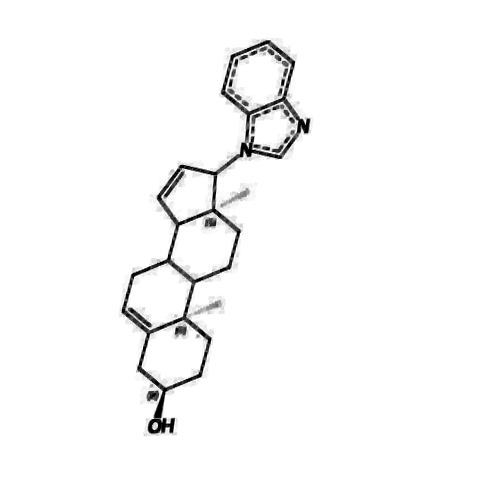 C[C@]12CCC3C(CC=C4C[C@H](O)CC[C@@]43C)C1C=CC2n1cnc2ccccc21